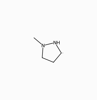 CN1CC[CH]N1